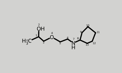 CC(O)COCCNC1CCCCC1